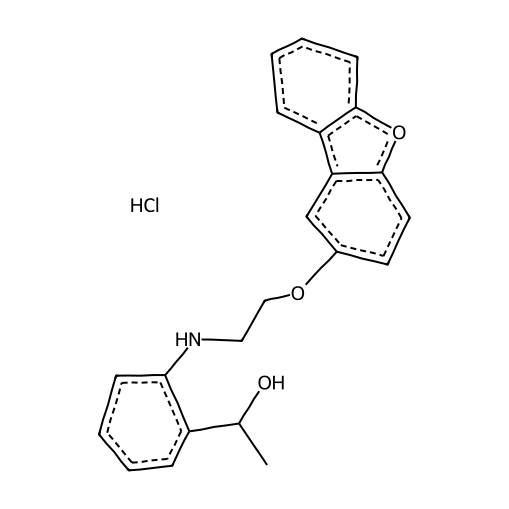 CC(O)c1ccccc1NCCOc1ccc2oc3ccccc3c2c1.Cl